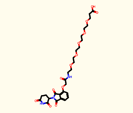 O=C(O)CCOCCOCCOCCOCCOCCNC(=O)COc1cccc2c1C(=O)N(C1CCC(=O)NC1=O)C2=O